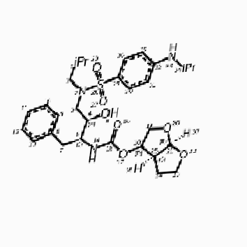 CC(C)CN(C[C@@H](O)[C@H](Cc1ccccc1)NC(=O)O[C@H]1CO[C@H]2OCC[C@H]21)S(=O)(=O)c1ccc(NC(C)C)cc1